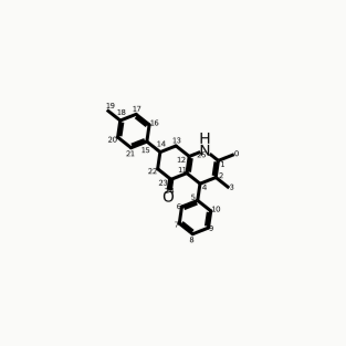 CC1=C(C)C(c2ccccc2)C2=C(CC(c3ccc(C)cc3)CC2=O)N1